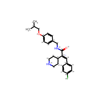 CC(C)COc1ccc(CNC(=O)/C(=C/c2ccc(F)cc2)C2CCNCC2)cc1